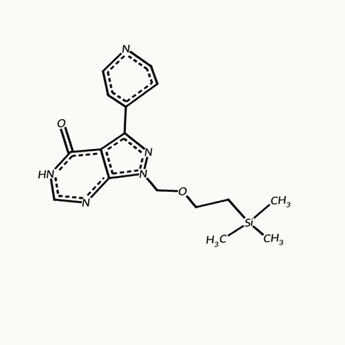 C[Si](C)(C)CCOCn1nc(-c2ccncc2)c2c(=O)[nH]cnc21